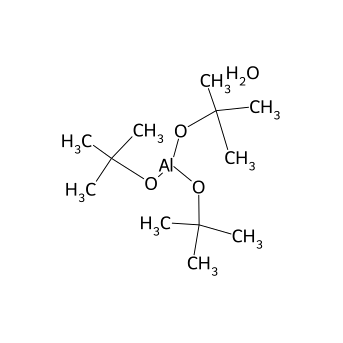 CC(C)(C)[O][Al]([O]C(C)(C)C)[O]C(C)(C)C.O